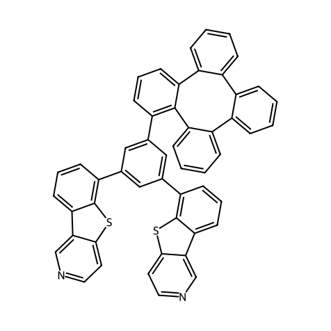 c1ccc2c(c1)-c1ccccc1-c1cccc(-c3cc(-c4cccc5c4sc4ccncc45)cc(-c4cccc5c4sc4ccncc45)c3)c1-c1ccccc1-2